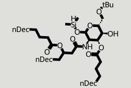 CCCCCCCCCCCCCC(=O)OC(CCCCCCCCCCC)CC(=O)N[C@H]1C(O[SiH](C)C)O[C@H](COC(C)(C)C)[C@@H](O)[C@@H]1OC(=O)CCCCCCCCCCCCC